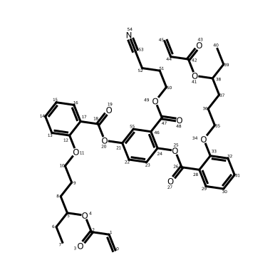 C=CC(=O)OC(CC)CCCOc1ccccc1C(=O)Oc1ccc(OC(=O)c2ccccc2OCCCC(CC)OC(=O)C=C)c(C(=O)OCCCC#N)c1